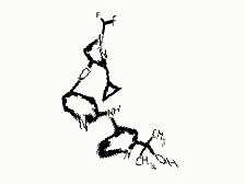 CC(C)(O)c1cc(Nc2cc(Oc3cn(C(F)F)nc3C3CC3)ccn2)ccn1